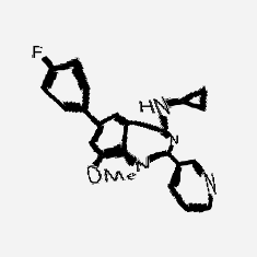 COc1cc(-c2ccc(F)cc2)cc2c(NC3CC3)nc(-c3cccnc3)nc12